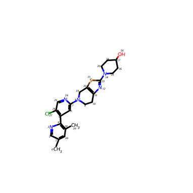 Cc1cnc(-c2cc(N3CCc4nc(N5CCC(O)CC5)sc4C3)ncc2Cl)c(C)c1